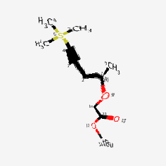 C[C@H](CC#CS(C)(C)C)OCC(=O)OC(C)(C)C